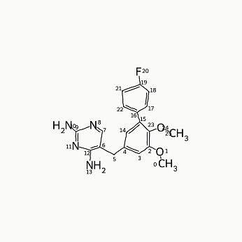 COc1cc(Cc2cnc(N)nc2N)cc(-c2ccc(F)cc2)c1OC